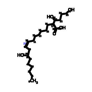 CCCCCC[C@@H](O)C/C=C\CCCCCCC(C(=O)O)C(O)CCCO